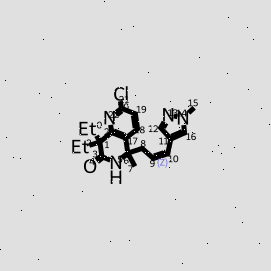 CCC1(CC)C(=O)NC(C)(C/C=C\c2cnn(C)c2)c2ccc(Cl)nc21